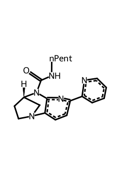 CCCCCNC(=O)N1c2nc(-c3ccccn3)ccc2N2CC[C@H]1C2